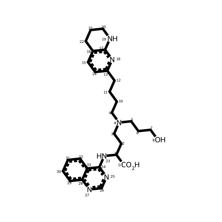 O=C(O)C(CCN(CCCO)CCCCc1ccc2c(n1)NCCC2)Nc1ncnc2ccccc12